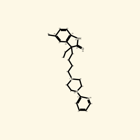 CCC1(CCCCN2CCN(c3ccccn3)CC2)C(=O)Nc2ccc(C)cc21